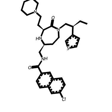 CC[C@H](CN1CC[C@@H](CNC(=O)c2ccc3cc(Cl)ccc3c2)N[C@@H](CCN2CCCCC2)C1=O)c1ccsc1